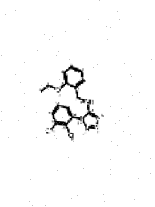 CCOc1ccccc1CNc1nnnn1-c1cccc(Cl)c1Cl